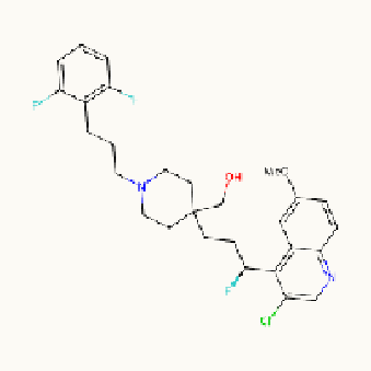 COc1ccc2ncc(Cl)c([C@@H](F)CCC3(CO)CCN(CCCc4c(F)cccc4F)CC3)c2c1